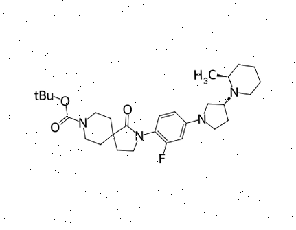 C[C@H]1CCCCN1[C@H]1CCN(c2ccc(N3CCC4(CCN(C(=O)OC(C)(C)C)CC4)C3=O)c(F)c2)C1